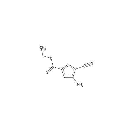 CCOC(=O)c1cc(N)c(C#N)s1